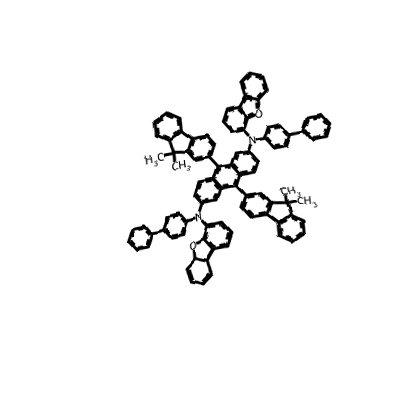 CC1(C)c2ccccc2-c2ccc(-c3c4ccc(N(c5ccc(-c6ccccc6)cc5)c5cccc6c5oc5ccccc56)cc4c(-c4ccc5c(c4)C(C)(C)c4ccccc4-5)c4ccc(N(c5ccc(-c6ccccc6)cc5)c5cccc6c5OC5C=CC=CC65)cc34)cc21